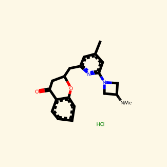 CNC1CN(c2cc(C)cc(CC3CC(=O)c4ccccc4O3)n2)C1.Cl